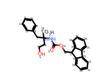 O=C(NC(CCO)(Cc1ccccc1)C(=O)O)OCC1c2ccccc2-c2ccccc21